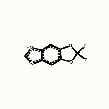 FC1(F)Oc2cc3nc[nH]c3cc2O1